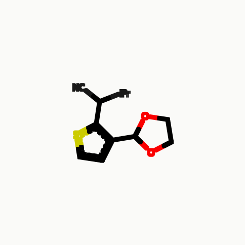 CC(C)C(C#N)c1sccc1C1OCCO1